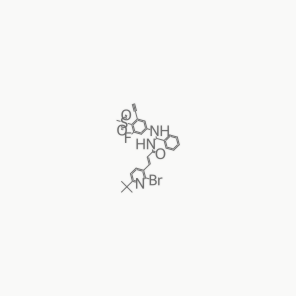 C#Cc1cc(NC(NC(=O)C=Cc2ccc(C(C)(C)C)nc2Br)c2ccccc2)cc(F)c1S(C)(=O)=O